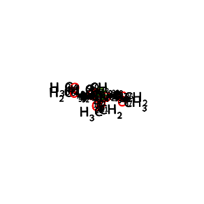 C=C(C)C(=O)O/C=C/c1ccc(C#Cc2cc(OC(=O)C(=C)C)c(CO/C=C/c3ccc(OC(=O)C(=C)C)cc3)c(C(F)(F)F)c2OC(=O)C(=C)C)cc1